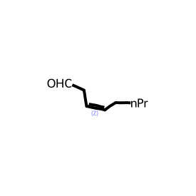 CCCC/C=C\CC=O